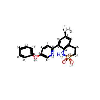 Cc1cc2c(c(-c3ccc(Oc4ccccc4)cn3)c1)NS(=O)(=O)CC2